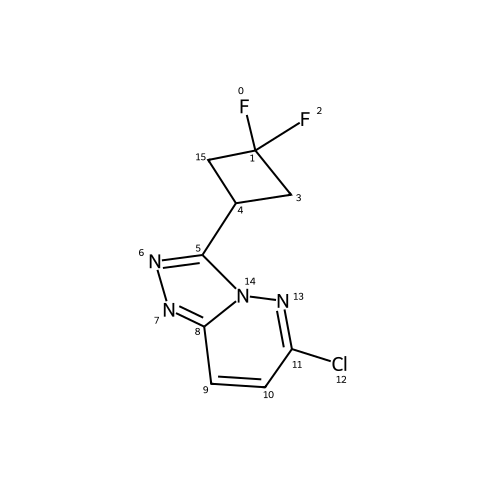 FC1(F)CC(c2nnc3ccc(Cl)nn23)C1